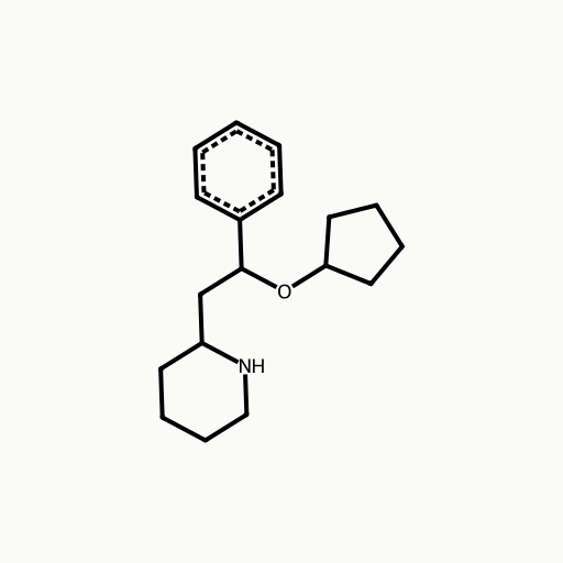 c1ccc(C(CC2CCCCN2)OC2CCCC2)cc1